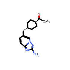 COC(=O)[C@H]1CC[C@H](Cc2ccc3nc(N)nn3c2)CC1